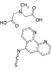 CN(CC(=O)O)CC(=O)O.S=C=Nc1cc2cccnc2c2ncccc12